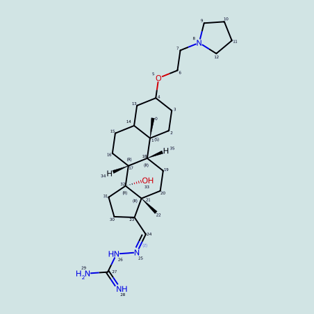 C[C@]12CCC(OCCN3CCCC3)CC1CC[C@@H]1[C@H]2CC[C@]2(C)C(/C=N\NC(=N)N)CC[C@@]12O